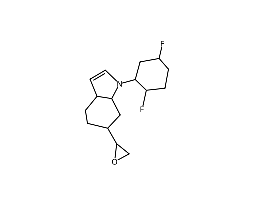 FC1CCC(F)C(N2C=CC3CCC(C4CO4)CC32)C1